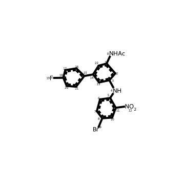 CC(=O)Nc1cc(Nc2ccc(Br)cc2[N+](=O)[O-])cc(-c2ccc(F)cc2)c1